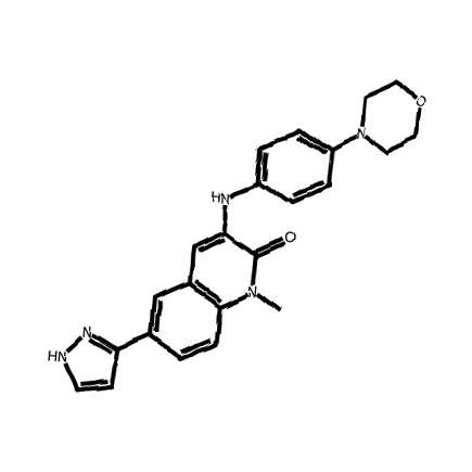 Cn1c(=O)c(Nc2ccc(N3CCOCC3)cc2)cc2cc(-c3cc[nH]n3)ccc21